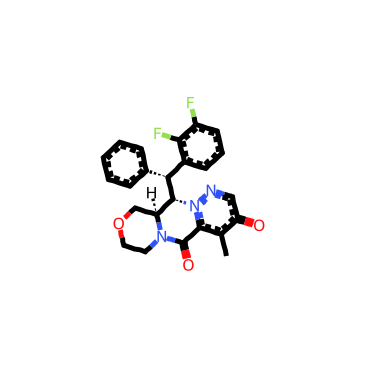 Cc1c2n(ncc1=O)[C@@H]([C@H](c1ccccc1)c1cccc(F)c1F)[C@@H]1COCCN1C2=O